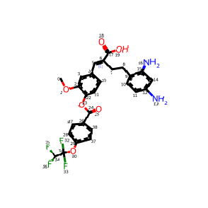 COc1cc(/C=C(\CCc2ccc(N)cc2N)C(=O)O)ccc1OC(=O)c1ccc(OC(F)(F)C(F)F)cc1